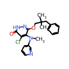 CN(c1cccnc1)c1c(OCC(C)(C)Cc2ccccc2)n[nH]c(=O)c1Cl